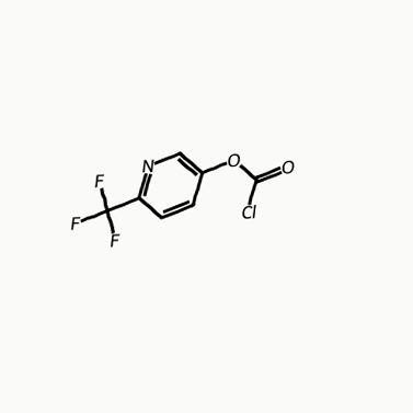 O=C(Cl)Oc1ccc(C(F)(F)F)nc1